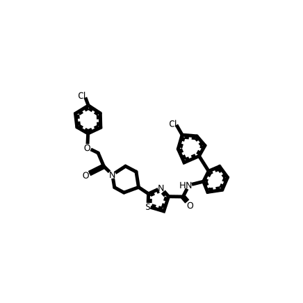 O=C(Nc1ccccc1-c1ccc(Cl)cc1)c1csc(C2CCN(C(=O)COc3ccc(Cl)cc3)CC2)n1